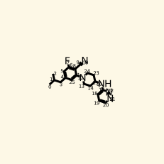 CC(C)Cc1cc(F)c(C#N)c(N2CCC(Nc3cccnn3)CC2)c1